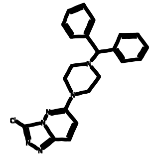 Clc1nnc2ccc(N3CCN(C(c4ccccc4)c4ccccc4)CC3)nn12